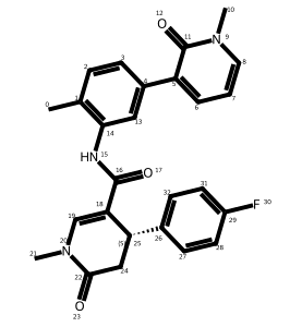 Cc1ccc(-c2cccn(C)c2=O)cc1NC(=O)C1=CN(C)C(=O)C[C@H]1c1ccc(F)cc1